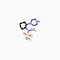 CN(c1ccccc1N1CCNCC1)S(C)(=O)=O